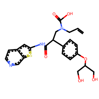 C=CCN(CC(C(=O)Nc1cc2ccncc2s1)c1ccc(OC(CO)CO)cc1)C(=O)O